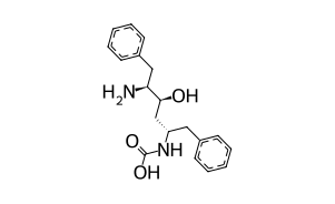 N[C@@H](Cc1ccccc1)[C@@H](O)C[C@H](Cc1ccccc1)NC(=O)O